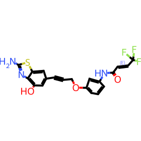 Nc1nc2c(O)cc(C#CCOc3cccc(NC(=O)/C=C/C(F)(F)F)c3)cc2s1